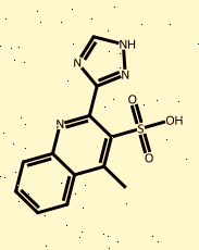 Cc1c(S(=O)(=O)O)c(-c2nc[nH]n2)nc2ccccc12